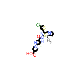 C[C@@H]1CCCN1Cc1sc(NC(=O)c2cnc(N3CCC(C(=O)O)CC3)c(F)c2)nc1-c1cc(Cl)cs1